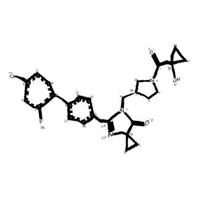 O=C(N1CC[C@@H](CN2C(=O)C3(CC3)N=C2c2ccc(-c3ccc(Cl)cc3F)cc2)C1)C1(O)CC1